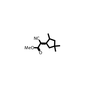 COC(=O)C(C#N)=C1CC(C)(C)CC1C